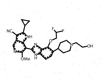 COc1ncc2c(C#N)c(C3CC3)[nH]c2c1-c1nc2c(OCC(F)F)c(C3CCN(CCO)CC3)ccc2[nH]1